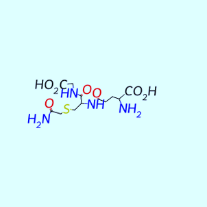 NC(=O)CSCC(NC(=O)CCC(N)C(=O)O)C(=O)NCC(=O)O